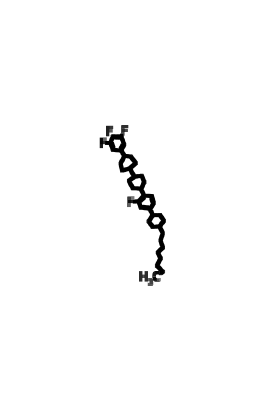 CCCCCCCCC1CCC(c2ccc(C3CCC(C4CCC(c5cc(F)c(F)c(F)c5)CC4)CC3)c(F)c2)CC1